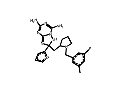 Cc1cc(F)cc(CN2CCCC2CC2(c3ccco3)N=C3N=C(N)N=C(N)N3N2)c1